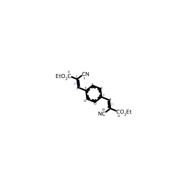 CCOC(=O)/C(C#N)=C/c1ccc(/C=C(\C#N)C(=O)OCC)cc1